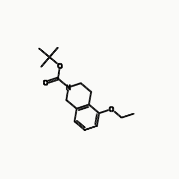 CCOc1cccc2c1CCN(C(=O)OC(C)(C)C)C2